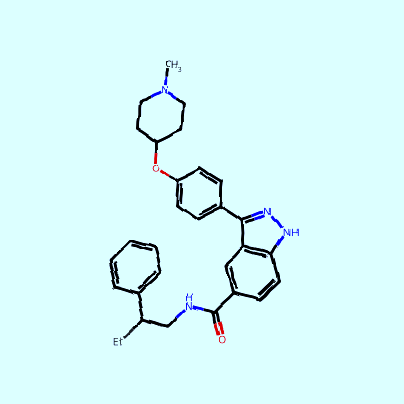 CCC(CNC(=O)c1ccc2[nH]nc(-c3ccc(OC4CCN(C)CC4)cc3)c2c1)c1ccccc1